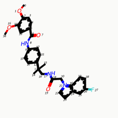 COc1ccc(C(=O)Nc2ccc(C(C)(C)CNC(=O)Cn3ccc4cc(F)ccc43)cc2)cc1OC